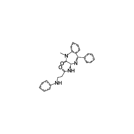 CN1C(=O)[C@H](NC(=O)CCNc2ccccc2)N=C(c2ccccc2)c2ccccc21